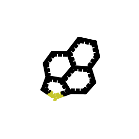 [c]1sc2ccc3cccc4ccc1c2c43